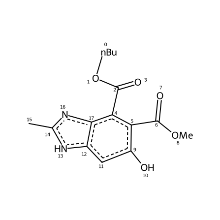 CCCCOC(=O)c1c(C(=O)OC)c(O)cc2[nH]c(C)nc12